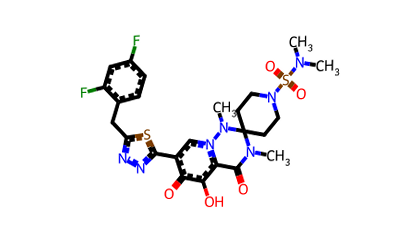 CN1C(=O)c2c(O)c(=O)c(-c3nnc(Cc4ccc(F)cc4F)s3)cn2N(C)C12CCN(S(=O)(=O)N(C)C)CC2